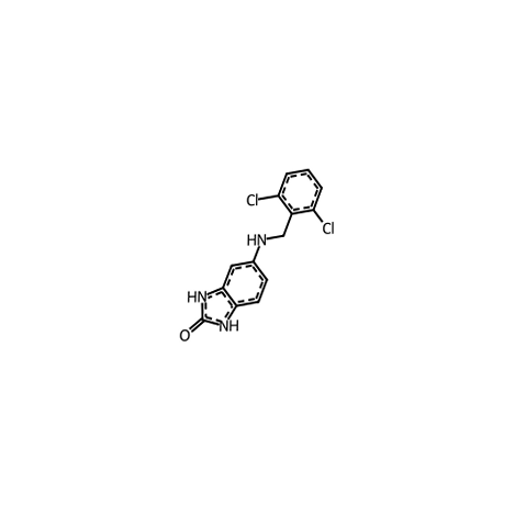 O=c1[nH]c2ccc(NCc3c(Cl)cccc3Cl)cc2[nH]1